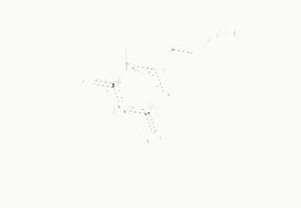 CCCCSCc1cc(=O)[nH]c(=O)[nH]1